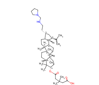 C=C(C)[C@@H]1C[C@@H](CCNCN2CCCC2)C2CC[C@]3(C)[C@H](CC[C@@H]4[C@@]5(C)CC[C@H](OC(=O)CC(C)(C)CC(=O)O)C(C)(C)[C@@H]5CC[C@]43C)[C@H]21